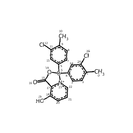 Cc1ccc([B-]2(c3ccc(C)c(Cl)c3)OC(=O)c3c(O)ccc[n+]32)cc1Cl